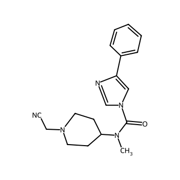 CN(C(=O)n1cnc(-c2ccccc2)c1)C1CCN(CC#N)CC1